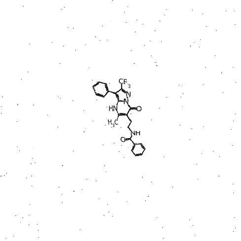 Cc1[nH]c2c(-c3ccccc3)c(C(F)(F)F)nn2c(=O)c1CCNC(=O)c1ccccc1